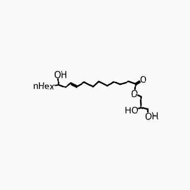 CCCCCCC(O)CC=CCCCCCCCC(=O)OCC(O)CO